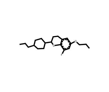 CCCOc1cc(F)c2c(c1)CCC(C1CCC(CCC)CC1)O2